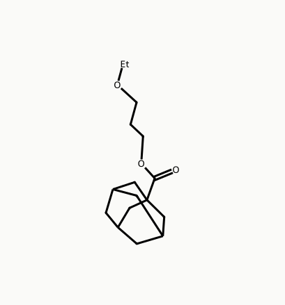 CCOCCCOC(=O)C12CC3CC(CC(C3)C1)C2